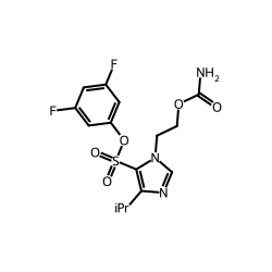 CC(C)c1ncn(CCOC(N)=O)c1S(=O)(=O)Oc1cc(F)cc(F)c1